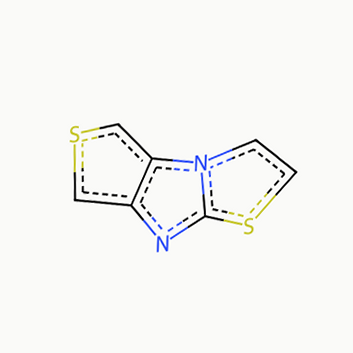 c1cn2c(nc3cscc32)s1